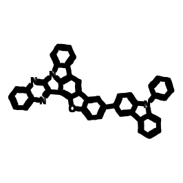 c1ccc(-n2c3ccccc3c3cc(-c4ccc5oc6c(cc7c8ccccc8n8c9nc%10ccccc%10nc9c6c78)c5c4)ccc32)cc1